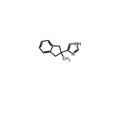 CC1(c2c[nH]cn2)Cc2ccccc2C1